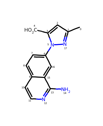 Cc1cc(C(=O)O)n(-c2ccc3ccnc(N)c3c2)n1